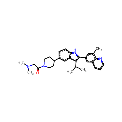 Cc1cc(-c2[nH]c3ccc(C4CCN(C(=O)CN(C)C)CC4)cc3c2C(C)C)cc2cccnc12